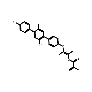 C=C(C)C(=O)O/C(C)=C(\C)Oc1ccc(-c2cc(C)c(-c3ccc(CC)cc3)cc2CC)cc1